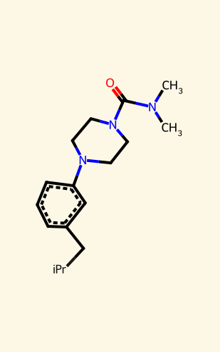 CC(C)Cc1cccc(N2CCN(C(=O)N(C)C)CC2)c1